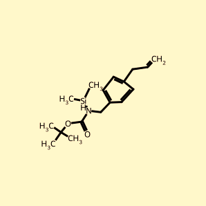 C=CCc1ccc(CN(C(=O)OC(C)(C)C)[SiH](C)C)cc1